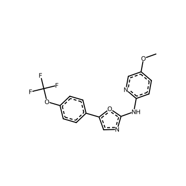 COc1ccc(Nc2ncc(-c3ccc(OC(F)(F)F)cc3)o2)nc1